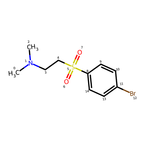 CN(C)CCS(=O)(=O)c1ccc(Br)cc1